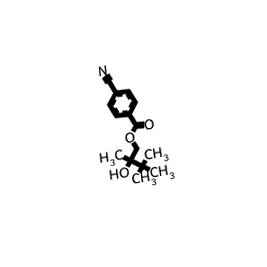 CC(C)(C)C(C)(O)COC(=O)c1ccc(C#N)cc1